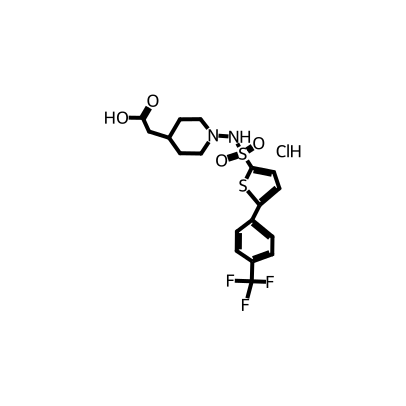 Cl.O=C(O)CC1CCN(NS(=O)(=O)c2ccc(-c3ccc(C(F)(F)F)cc3)s2)CC1